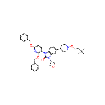 C[Si](C)(C)CCON1CC=C(c2ccc3c(c2)n(C2COC2)c(=O)n3-c2ccc(OCc3ccccc3)nc2OCc2ccccc2)CC1